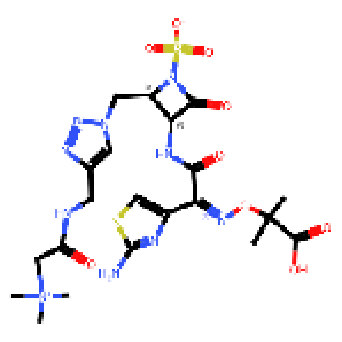 CC(C)(O/N=C(\C(=O)N[C@@H]1C(=O)N(S(=O)(=O)[O-])[C@@H]1Cn1cc(CNC(=O)C[N+](C)(C)C)nn1)c1csc(N)n1)C(=O)O